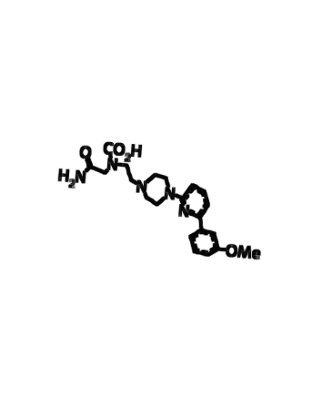 COc1cccc(-c2cccc(N3CCN(CCN(CC(N)=O)C(=O)O)CC3)n2)c1